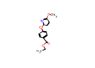 CCOC(=O)c1ccc(Oc2ccc(OC)cn2)cc1